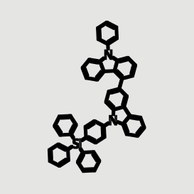 c1ccc(-n2c3ccccc3c3c(-c4ccc5c(c4)c4ccccc4n5-c4ccc([Si](c5ccccc5)(c5ccccc5)c5ccccc5)cc4)cccc32)cc1